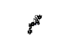 O=C1N=C(Nc2ccccc2Cl)S/C1=C\c1ccc2ncn(CCN3CCOCC3)c2c1